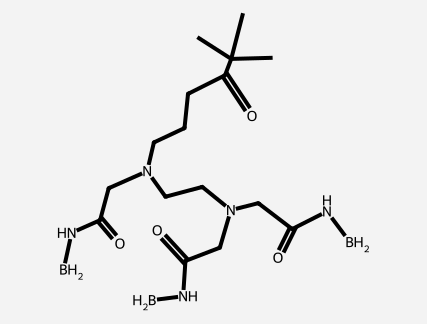 BNC(=O)CN(CCCC(=O)C(C)(C)C)CCN(CC(=O)NB)CC(=O)NB